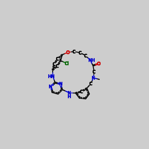 CN1CC(=O)NCCCOc2ccc(cc2Cl)Nc2nccc(n2)Nc2cccc(c2)C1